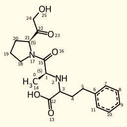 C[C@H](NC(CCc1ccccc1)C(=O)O)C(=O)N1CCC[C@H]1C(=O)CO